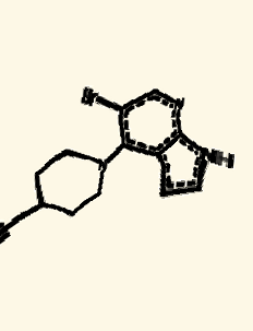 N#CC1CCN(c2c(Br)cnc3[nH]ccc23)CC1